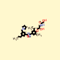 CCCc1cc(CN2CCCC2)cc(-c2nc(-c3cc(C)c(OCC(O)CNC(=O)CO)c(CC)c3)no2)c1